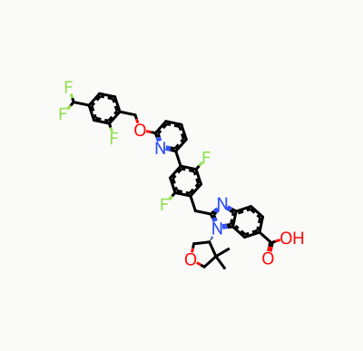 CC1(C)COC[C@@H]1n1c(Cc2cc(F)c(-c3cccc(OCc4ccc(C(F)F)cc4F)n3)cc2F)nc2ccc(C(=O)O)cc21